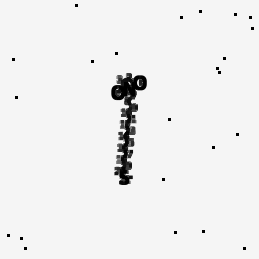 O=C1C=CC(=O)N1CCCCCCCCCCCCCC[S]